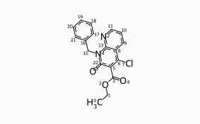 CCOC(=O)c1c(Cl)c2cccnc2n(Cc2ccccc2)c1=O